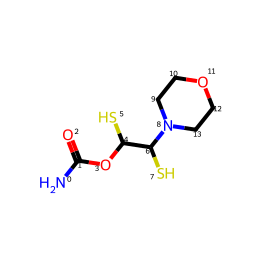 NC(=O)OC(S)C(S)N1CCOCC1